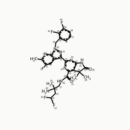 Cc1nc2c(cc1F)c(-c1nc3c(c(C(=O)NCC(C)(N)CC(F)F)n1)C(C)(C)C(=O)N3)nn2Cc1cccc(F)c1F